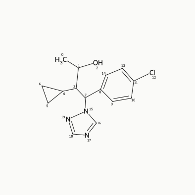 CC(O)C(C1CC1)C(c1ccc(Cl)cc1)n1cncn1